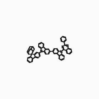 c1ccc(-c2nc(-n3c4ccccc4c4cc(-c5ccc6c(c5)c5ccccc5n6-c5ccc6c(c5)C5(c7ccccc7-6)C6CC7CC(C6)CC5C7)ccc43)c3ccccc3n2)cc1